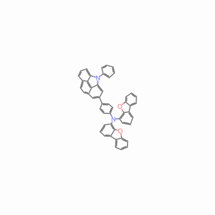 c1ccc(-n2c3cccc4ccc5cc(-c6ccc(N(c7cccc8c7oc7ccccc78)c7cccc8c7oc7ccccc78)cc6)cc2c5c43)cc1